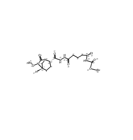 CCCCON1C(=O)N2C[C@@H]1CC[C@H]2C(=O)NNC(=O)CCC[C@@H](CC)NC(=O)OC(C)(C)C